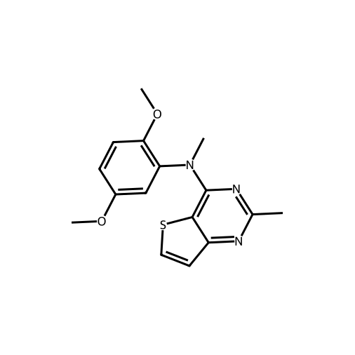 COc1ccc(OC)c(N(C)c2nc(C)nc3ccsc23)c1